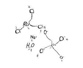 O.[Cl][Ru]([Cl])[Cl].[Na+].[O-][I+3]([O-])([O-])[O-]